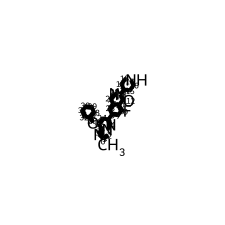 Cc1cn2nc(-c3cc(F)c4c(=O)n(C5CCNCC5)ncc4c3)cc(Oc3ccccc3)c2n1